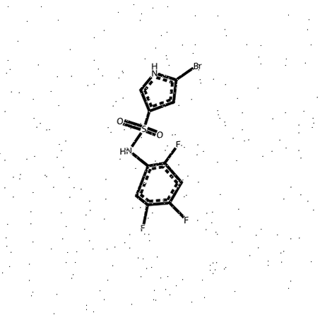 O=S(=O)(Nc1cc(F)c(F)cc1F)c1c[nH]c(Br)c1